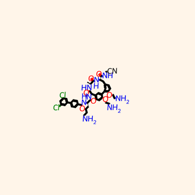 C[C@@H]1NC(=O)[C@@H](N(C)C(=O)[C@H](CCCCN)NC(=O)c2ccc(-c3cc(Cl)cc(Cl)c3)cc2)c2ccc(OCCN)c(c2)-c2cc(ccc2OCCN)C[C@@H](C(=O)NCC#N)NC1=O